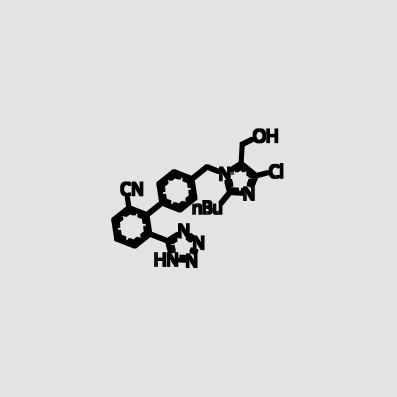 CCCCc1nc(Cl)c(CO)n1Cc1ccc(-c2c(C#N)cccc2-c2nnn[nH]2)cc1